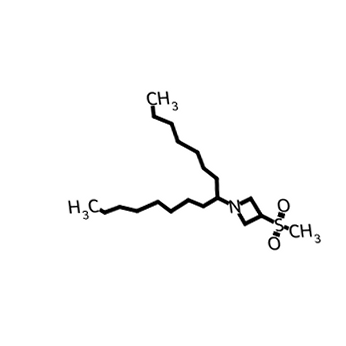 CCCCCCCCC(CCCCCCC)N1CC(S(C)(=O)=O)C1